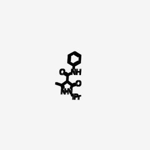 CC1=NN(C(C)C)C(=O)C1C(=O)Nc1ccccc1